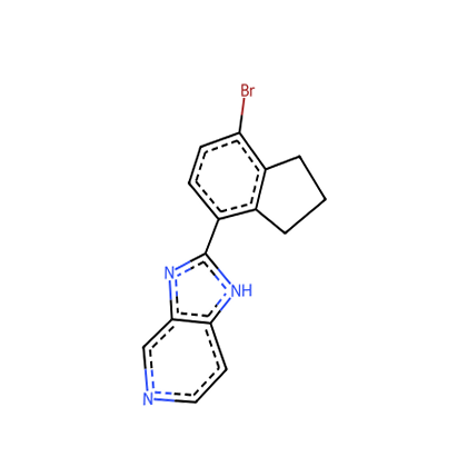 Brc1ccc(-c2nc3cnccc3[nH]2)c2c1CCC2